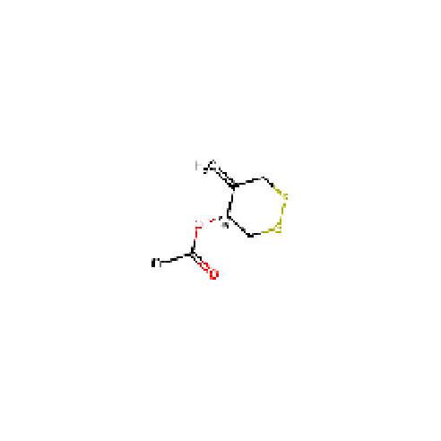 C=C1CSSC[C@@H]1OC(=O)C(C)C